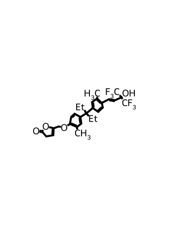 CCC(CC)(c1ccc(C=CC(O)(C(F)(F)F)C(F)(F)F)c(C)c1)c1ccc(OCC2=CCC(=O)O2)c(C)c1